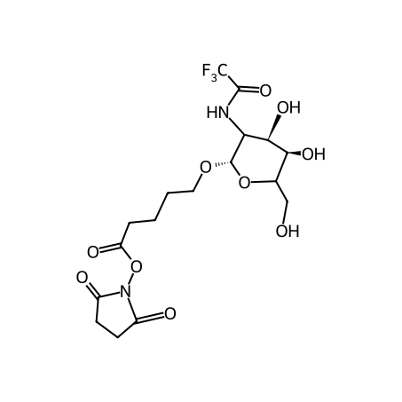 O=C(CCCCO[C@H]1OC(CO)[C@H](O)[C@H](O)C1NC(=O)C(F)(F)F)ON1C(=O)CCC1=O